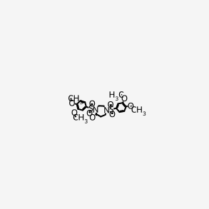 COc1ccc(S(=O)(=O)N2CCC(=O)N(S(=O)(=O)c3ccc(OC)c(OC)c3)CC2)cc1OC